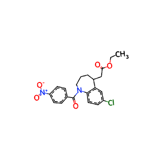 CCOC(=O)CC1CCCN(C(=O)c2ccc([N+](=O)[O-])cc2)c2ccc(Cl)cc21